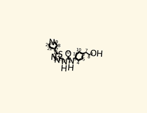 O=C(Nc1ccc(CCO)cc1)Nc1nnc(-c2ccncc2)s1